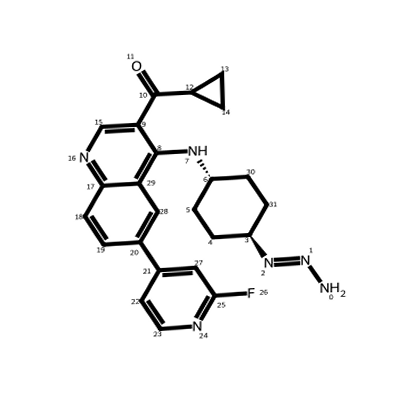 NN=N[C@H]1CC[C@H](Nc2c(C(=O)C3CC3)cnc3ccc(-c4ccnc(F)c4)cc23)CC1